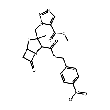 COC(=O)c1cnnn1CC1(C)SC2CC(=O)N2C1C(=O)OCc1ccc([N+](=O)[O-])cc1